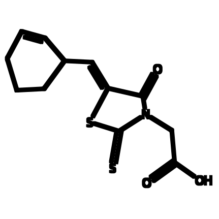 O=C(O)CN1C(=O)C(=CC2C=CCCC2)SC1=S